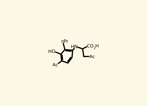 CCCc1c(NC(CC(C)=O)C(=O)O)ccc(C(C)=O)c1O